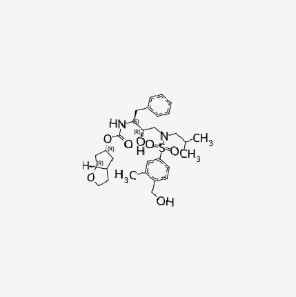 Cc1cc(S(=O)(=O)N(CC(C)C)C[C@@H](O)[C@H](Cc2ccccc2)NC(=O)O[C@@H]2CC3CCO[C@@H]3C2)ccc1CO